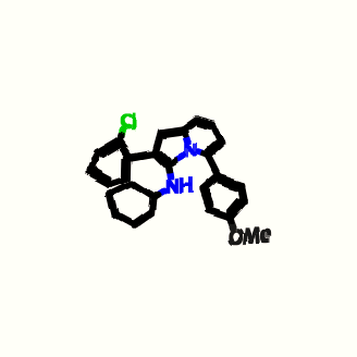 COc1ccc(-c2cccc3cc(-c4ccccc4Cl)c(NC4CCCCC4)n23)cc1